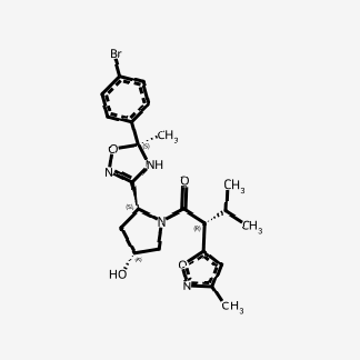 Cc1cc([C@H](C(=O)N2C[C@H](O)C[C@H]2C2=NO[C@@](C)(c3ccc(Br)cc3)N2)C(C)C)on1